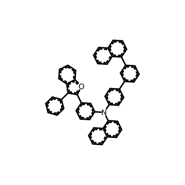 c1ccc(-c2c(-c3cccc(N(c4ccc(-c5cccc(-c6cccc7ccccc67)c5)cc4)c4cccc5ccccc45)c3)oc3ccccc23)cc1